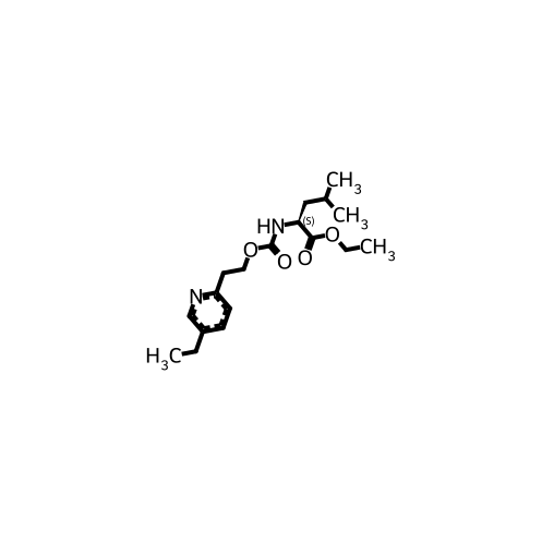 CCOC(=O)[C@H](CC(C)C)NC(=O)OCCc1ccc(CC)cn1